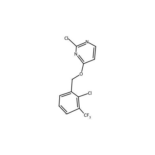 FC(F)(F)c1[c]ccc(COc2ccnc(Cl)n2)c1Cl